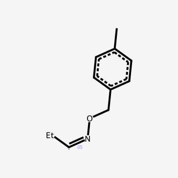 CC/[C]=N\OCc1ccc(C)cc1